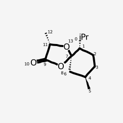 CC(C)[C@@H]1CC[C@@H](C)C[C@@]12OC(=O)[C@H](C)O2